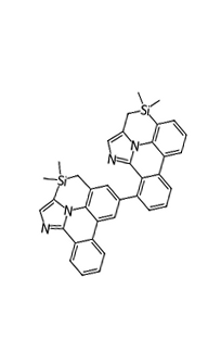 C[Si]1(C)Cc2cnc3c4c(-c5cc6c7c(c5)c5ccccc5c5ncc(n57)[Si](C)(C)C6)cccc4c4cccc1c4n23